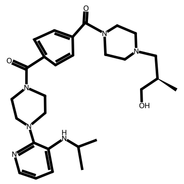 CC(C)Nc1cccnc1N1CCN(C(=O)c2ccc(C(=O)N3CCN(C[C@@H](C)CO)CC3)cc2)CC1